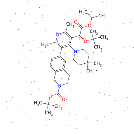 Cc1nc(C)c([C@H](OC(C)(C)C)C(=O)OC(C)C)c(N2CCC(C)(C)CC2)c1-c1ccc2c(c1)CCN(C(=O)OC(C)(C)C)C2